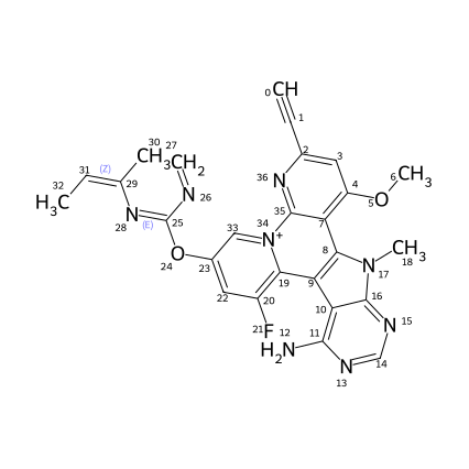 C#Cc1cc(OC)c2c3c(c4c(N)ncnc4n3C)c3c(F)cc(O/C(N=C)=N/C(C)=C\C)c[n+]3c2n1